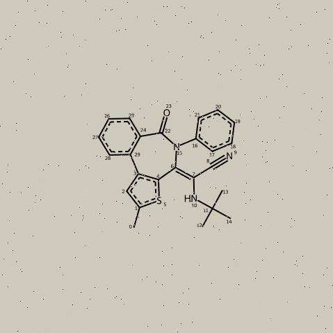 Cc1cc2c(s1)/C(=C(/C#N)NC(C)(C)C)N(c1ccccc1)C(=O)c1ccccc1-2